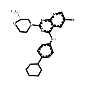 C[C@@H]1CN(c2nc(Nc3ccc(C4CCCCC4)cc3)c3cc(Br)cnc3n2)CCO1